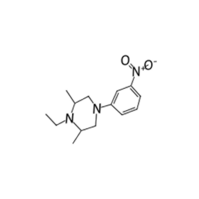 CCN1C(C)CN(c2cccc([N+](=O)[O-])c2)CC1C